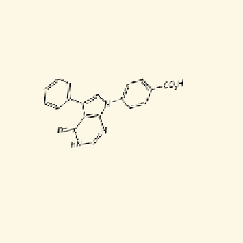 O=C(O)c1ccc(-n2cc(-c3ccccc3)c3c(=O)[nH]cnc32)cc1